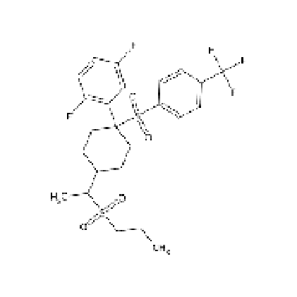 CCCS(=O)(=O)C(C)C1CCC(c2cc(F)ccc2F)(S(=O)(=O)c2ccc(C(F)(F)F)cc2)CC1